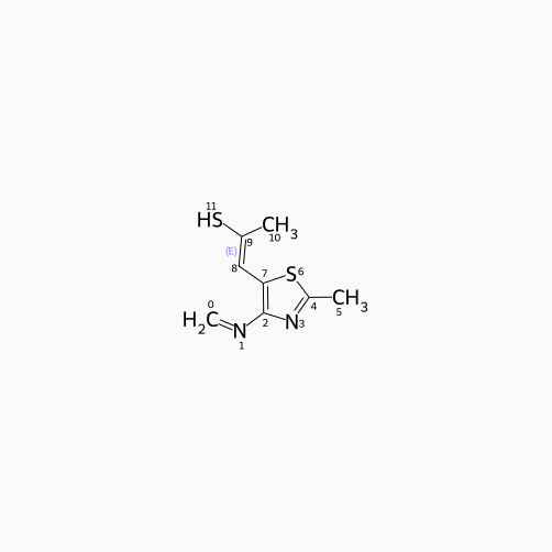 C=Nc1nc(C)sc1/C=C(\C)S